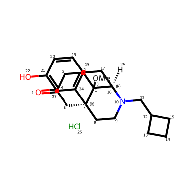 COC12CCC(=O)C[C@@]13CCN(CC1CCC1)[C@@H]2Cc1ccc(O)cc13.Cl